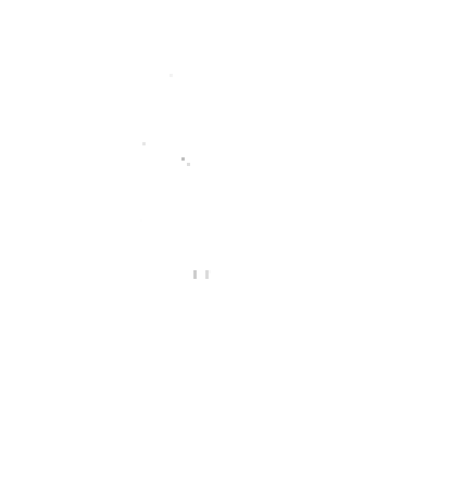 O=C(Nc1ccc(C2CNCCO2)cc1)c1cnn(-c2cccc(F)c2)n1